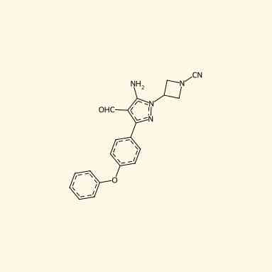 N#CN1CC(n2nc(-c3ccc(Oc4ccccc4)cc3)c(C=O)c2N)C1